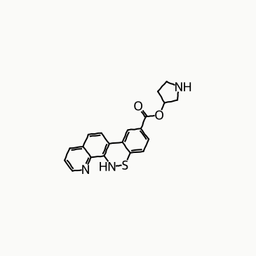 O=C(OC1CCNC1)c1ccc2c(c1)-c1ccc3cccnc3c1NS2